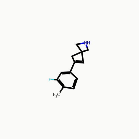 Fc1cc(C2=CC3(CNC3)C2)ccc1C(F)(F)F